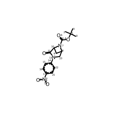 CC(C)(C)OC(=O)N1C2CC1C(=O)N(c1ccc([N+](=O)[O-])cc1)C2